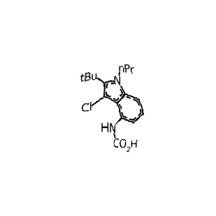 CCCn1c(C(C)(C)C)c(Cl)c2c(NC(=O)O)cccc21